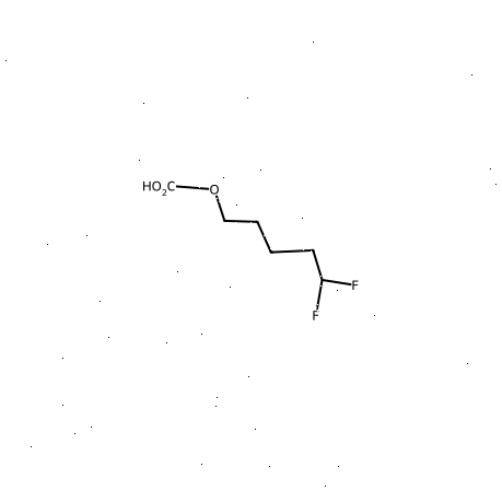 O=C(O)OCCCCC(F)F